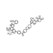 Cc1cn(C2CCN(CC3(F)CCN(C(=O)c4ccc([C@@H]5CN(c6cc(-c7ccccc7O)nnc6N)[C@H](C)[C@H](C)O5)cc4)CC3)CC2)c2ncc(N3CCC(=O)NC3=O)cc12